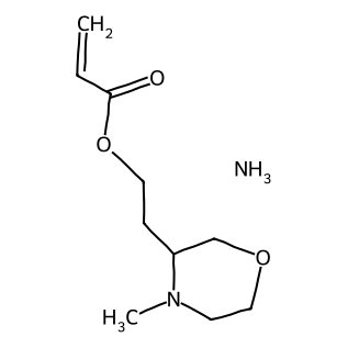 C=CC(=O)OCCC1COCCN1C.N